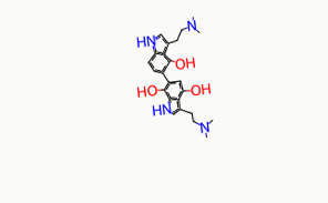 CN(C)CCc1c[nH]c2ccc(-c3cc(O)c4c(CCN(C)C)c[nH]c4c3O)c(O)c12